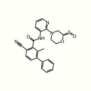 Cc1c(-c2ccccc2)ccc(C#N)c1C(=O)Nc1cccnc1N1CCOC(=S=O)C1